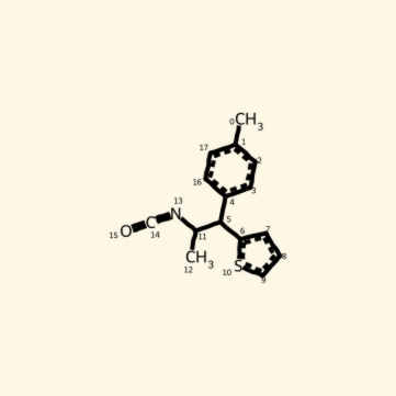 Cc1ccc(C(c2cccs2)C(C)N=C=O)cc1